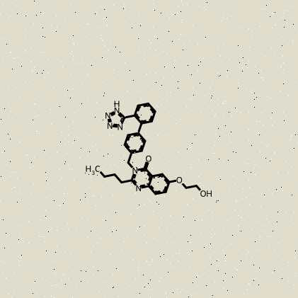 CCCCc1nc2ccc(OCCO)cc2c(=O)n1Cc1ccc(-c2ccccc2-c2nnn[nH]2)cc1